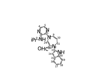 CC(C)Nc1nccnc1N1C=CCN(c2cc3ccccc3[nH]2)C(C=O)=C1